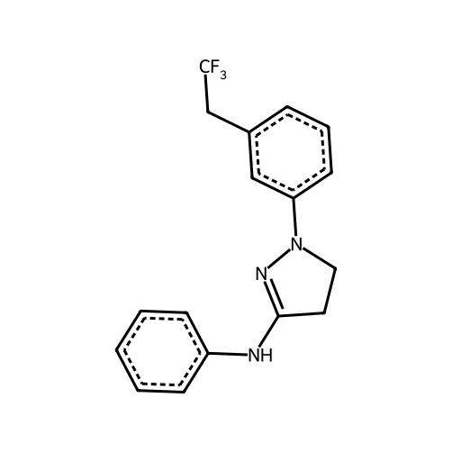 FC(F)(F)Cc1cccc(N2CCC(Nc3ccccc3)=N2)c1